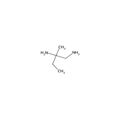 CCC(C)(N)CN